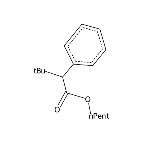 CCCCCOC(=O)C(c1ccccc1)C(C)(C)C